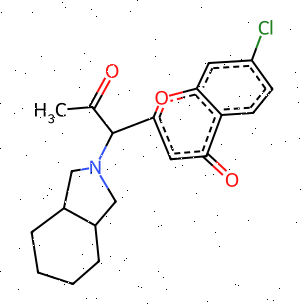 CC(=O)C(c1cc(=O)c2ccc(Cl)cc2o1)N1CC2CCCCC2C1